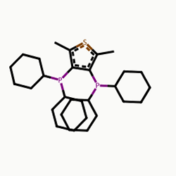 Cc1sc(C)c(P(C2CCCCC2)C2CCCCC2)c1P(C1CCCCC1)C1CCCCC1